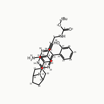 CC(C)(C)OC(=O)NCC#Cc1cnc(N2C3CCC2CN(c2cc(-c4ccccc4O)nnc2N)C3)nc1